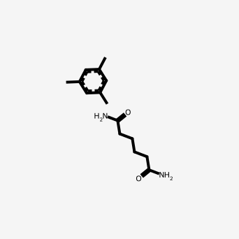 Cc1cc(C)cc(C)c1.NC(=O)CCCCC(N)=O